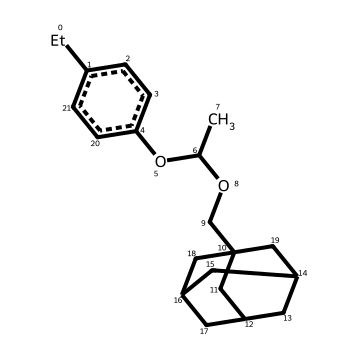 CCc1ccc(OC(C)OCC23CC4CC(CC(C4)C2)C3)cc1